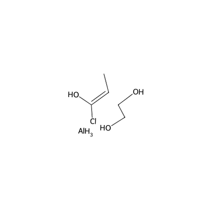 C/C=C(\O)Cl.OCCO.[AlH3]